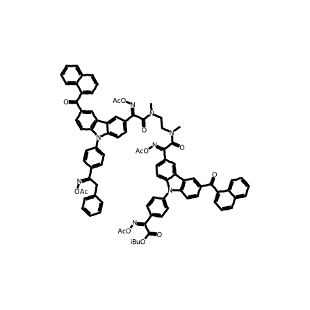 CC(=O)O/N=C(\C(=O)OCC(C)C)c1ccc(-n2c3ccc(C(=O)c4cccc5ccccc45)cc3c3cc(/C(=N\OC(C)=O)C(=O)N(C)CCN(C)C(=O)/C(=N/OC(C)=O)c4ccc5c(c4)c4cc(C(=O)c6cccc7ccccc67)ccc4n5-c4ccc(/C(Cc5ccccc5)=N/OC(C)=O)cc4)ccc32)cc1